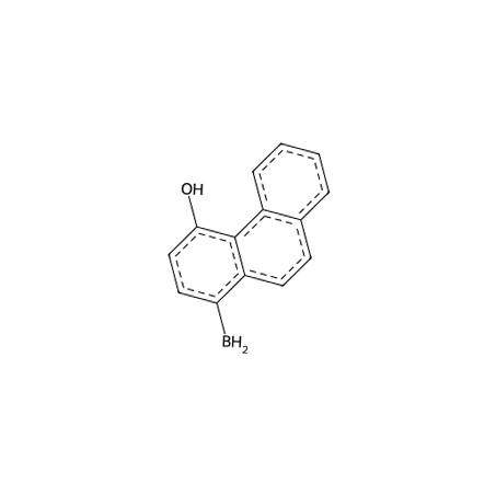 Bc1ccc(O)c2c1ccc1ccccc12